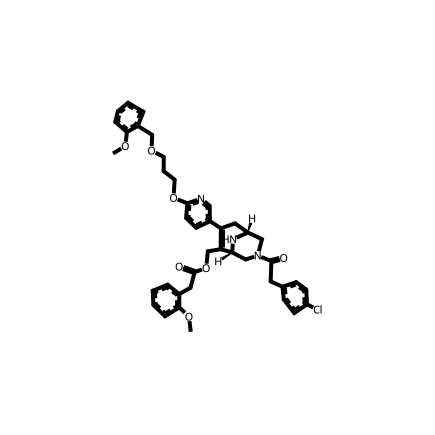 COc1ccccc1COCCCOc1ccc(C2=C(COC(=O)Cc3ccccc3OC)[C@H]3CN(C(=O)Cc4ccc(Cl)cc4)C[C@@H](C2)N3)cn1